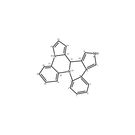 c1ccc2c(c1)-c1c[nH]cc1C1c3cccn3-c3ccccc3N21